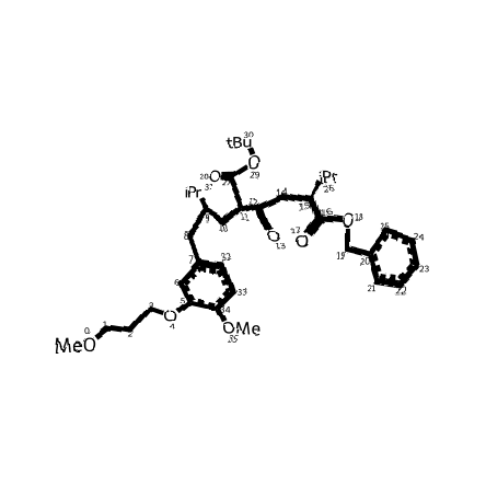 COCCCOc1cc(CC(CC(C(=O)C[C@H](C(=O)OCc2ccccc2)C(C)C)C(=O)OC(C)(C)C)C(C)C)ccc1OC